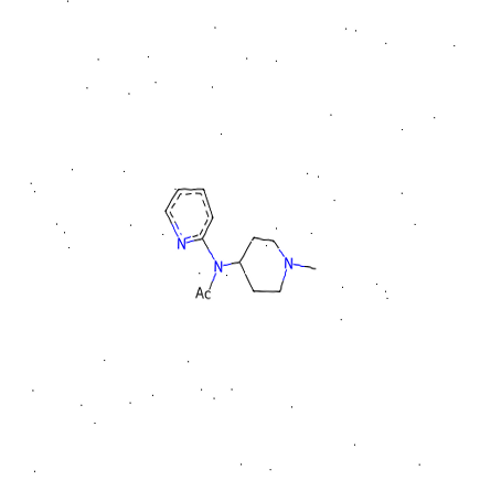 CC(=O)N(c1ccccn1)C1CCN(C)CC1